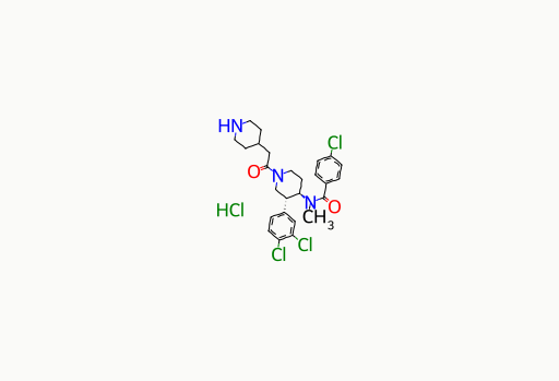 CN(C(=O)c1ccc(Cl)cc1)[C@@H]1CCN(C(=O)CC2CCNCC2)C[C@H]1c1ccc(Cl)c(Cl)c1.Cl